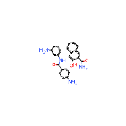 NC(=O)c1cc2ccccc2cc1O.Nc1ccc(C(=O)Nc2cccc(N)c2)cc1